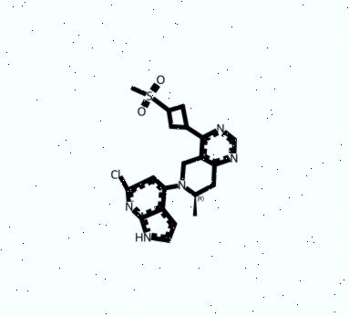 C[C@@H]1Cc2ncnc(C3CC(S(C)(=O)=O)C3)c2CN1c1cc(Cl)nc2[nH]ccc12